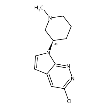 CN1CCC[C@@H](n2ccc3cc(Cl)nnc32)C1